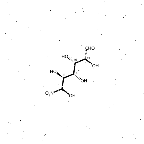 O=C[C@H](O)[C@@H](O)[C@H](O)[C@H](O)C(O)[N+](=O)[O-]